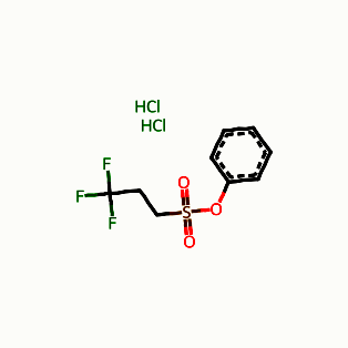 Cl.Cl.O=S(=O)(CCC(F)(F)F)Oc1ccccc1